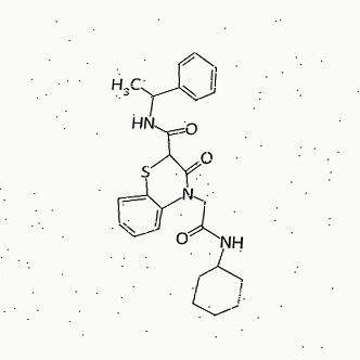 CC(NC(=O)C1Sc2ccccc2N(CC(=O)NC2CCCCC2)C1=O)c1ccccc1